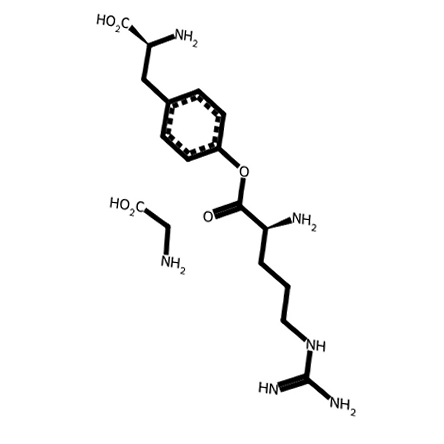 N=C(N)NCCC[C@H](N)C(=O)Oc1ccc(C[C@H](N)C(=O)O)cc1.NCC(=O)O